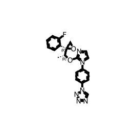 C[C@@H](Oc1nccn1-c1ccc(-n2cnnn2)cc1)[C@@]1(c2ccccc2F)CO1